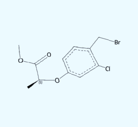 COC(=O)[C@H](C)Oc1ccc(CBr)c(Cl)c1